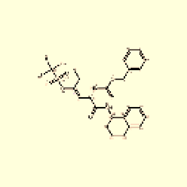 CC/C(=C\[C@H](NC(=O)OCc1ccccc1)C(=O)N[C@@H]1CCCc2ccccc21)OS(=O)(=O)C(F)(F)F